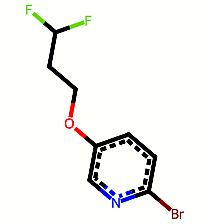 FC(F)CCOc1ccc(Br)nc1